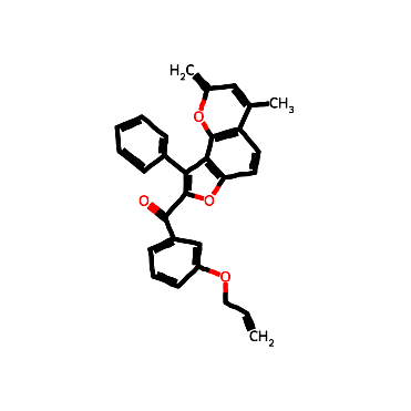 C=CCOc1cccc(C(=O)c2oc3ccc4c(c3c2-c2ccccc2)OC(=C)C=C4C)c1